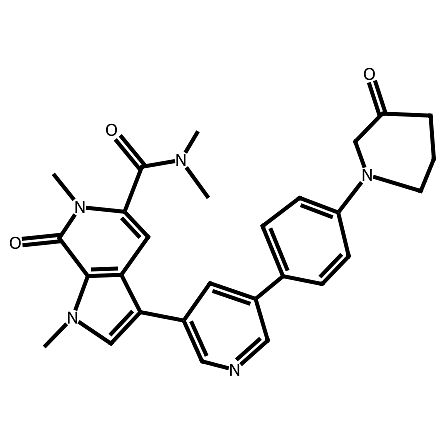 CN(C)C(=O)c1cc2c(-c3cncc(-c4ccc(N5CCCC(=O)C5)cc4)c3)cn(C)c2c(=O)n1C